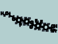 C=CCCOc1ccc(-c2ccc(OC(=O)c3ccc(C4CCC(C(O)CCC)CC4)c(F)c3F)cc2)c(F)c1